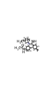 CC(=O)Nc1cc(/C(C(=N)c2ccc(F)cc2)=C2\CN(C)CCN2)ccn1